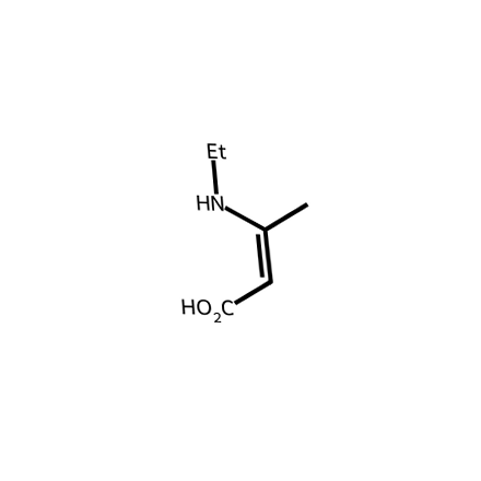 CCN/C(C)=C\C(=O)O